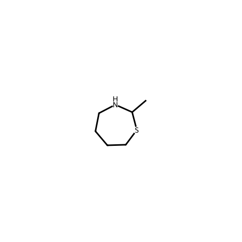 CC1NCCCCS1